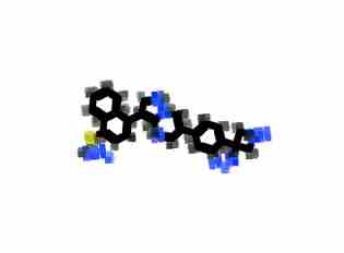 NSc1ccc(-c2cnn3cc(-c4ccc(C5(N)CNC5)cc4)cnc23)c2ccccc12